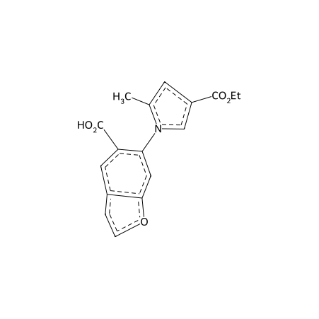 CCOC(=O)c1cc(C)n(-c2cc3occc3cc2C(=O)O)c1